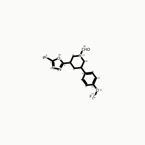 CC(C)c1nnc(C2CC(c3ccc(OC(F)(F)F)cc3)CN(C=O)C2)o1